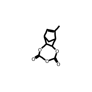 CC1=CC2CC1C1OC(=O)OC(=O)OC21